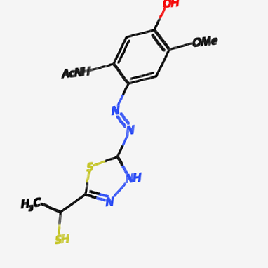 COc1cc(/N=N/C2NN=C(C(C)S)S2)c(NC(C)=O)cc1O